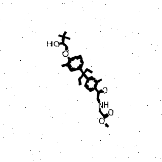 CCC(CC)(c1ccc(OCC(O)C(C)(C)C)c(C)c1)c1ccc(C(=O)CNCC(=O)OC)c(C)c1